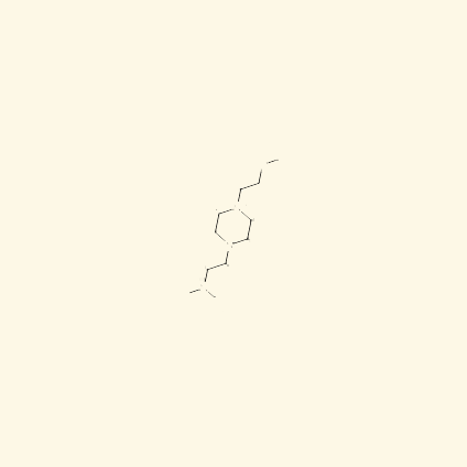 CCOCCN1CCN(CCN(CC)CC)CC1